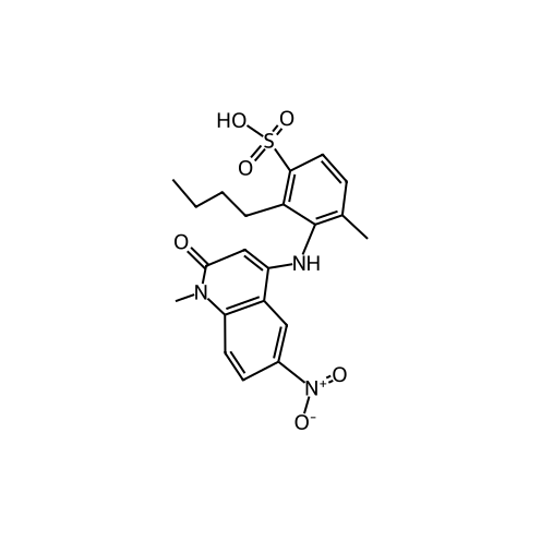 CCCCc1c(S(=O)(=O)O)ccc(C)c1Nc1cc(=O)n(C)c2ccc([N+](=O)[O-])cc12